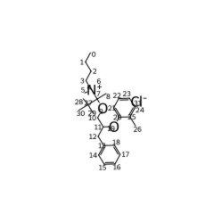 CCCC[N+](C)(C)C(C)(OCC(Cc1ccccc1)Oc1ccccc1C)C(C)(C)C.[Cl-]